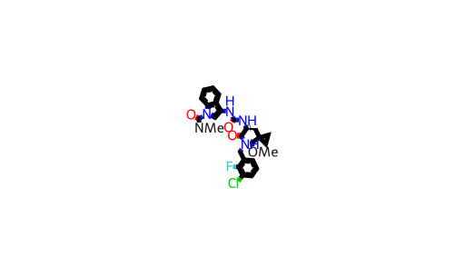 CNC(=O)n1cc(NC(=O)N[C@@H](CC2(COC)CC2)C(=O)NCc2cccc(Cl)c2F)c2ccccc21